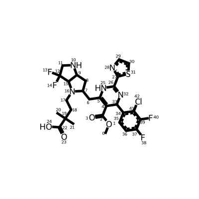 COC(=O)C1=C(CC2CC3NCC(F)(F)C3N2CCC(C)(C)C(=O)O)NC(c2nccs2)=NC1c1ccc(F)c(F)c1Cl